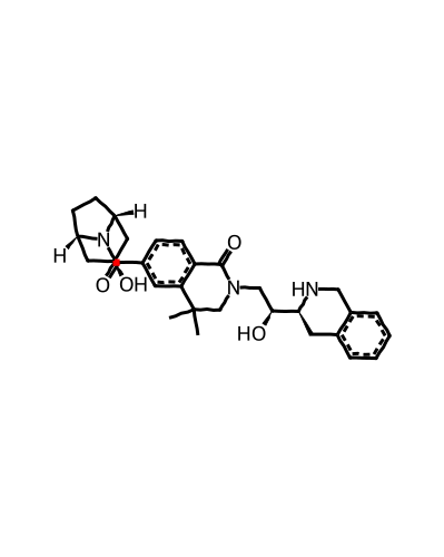 CC1(C)CN(C[C@H](O)[C@@H]2Cc3ccccc3CN2)C(=O)c2ccc(C(=O)N3[C@@H]4CC[C@H]3C[C@H](O)C4)cc21